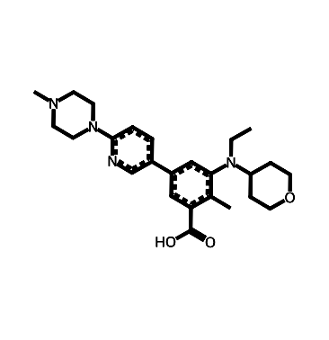 CCN(c1cc(-c2ccc(N3CCN(C)CC3)nc2)cc(C(=O)O)c1C)C1CCOCC1